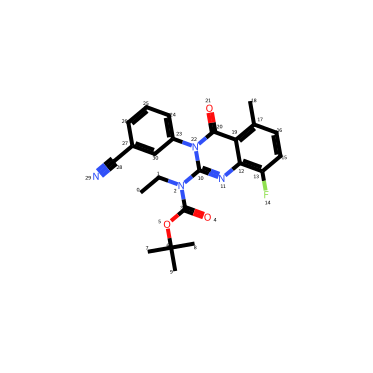 CCN(C(=O)OC(C)(C)C)c1nc2c(F)ccc(C)c2c(=O)n1-c1cccc(C#N)c1